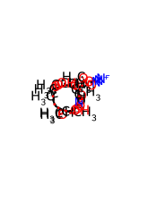 COC1C[C@H]2CC[C@@H](C)[C@@](O)(C2)C(=O)C(=O)N2CCCC[C@H]2C(=O)C[C@@H]([C@@H](C)CC2CC[C@@H](OC(=O)CN=[N+]=[N-])[C@@H](OC)C2)CC(=O)[C@@H](C)CC(C)[C@@H](O)C(OC)C(=O)[C@H](C)C[C@@H](C)/C=C/C=C/C=C/1C